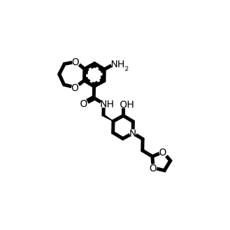 Nc1cc2c(c(C(=O)NC[C@@H]3CCN(CCC4OCCO4)CC3O)c1)OCCCO2